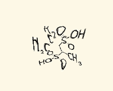 C=C.CC(CS(=O)(=O)O)S(=O)(=O)O